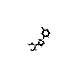 [CH2]c1cccc(-n2ncc(N(CC)CC)n2)c1